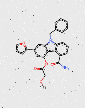 CCOCC(=O)Oc1cc(-c2ccco2)cc2c1c1c(C(N)=O)cccc1n2Cc1ccccc1